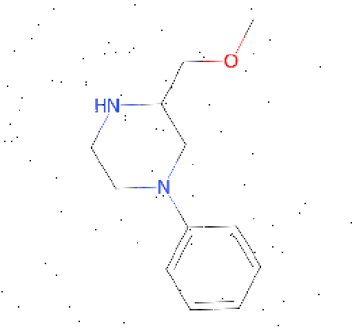 COCC1CN(c2ccccc2)CCN1